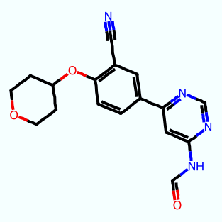 N#Cc1cc(-c2cc(NC=O)ncn2)ccc1OC1CCOCC1